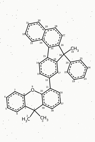 CC1(C)c2ccccc2Oc2c(-c3ccc4c(c3)C(C)(c3ccccc3)c3ccc5ccccc5c3-4)cccc21